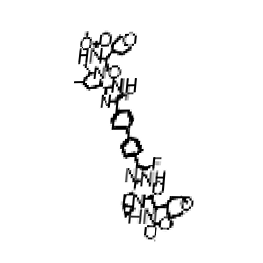 COC(=O)N[C@H](C(=O)N1C2CC2C[C@H]1c1nc(-c2ccc(-c3ccc(-c4nc([C@@H]5C[C@@H](C)[C@@H](C)N5C(=O)[C@@H](NC(=O)OC)C5CCOCC5)[nH]c4F)cc3)cc2)c(F)[nH]1)C1CCOCC1